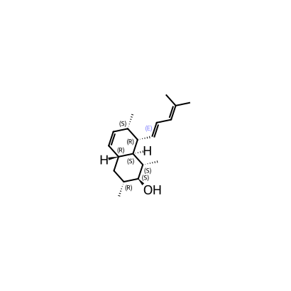 CC(C)=C/C=C/[C@@H]1[C@H]2[C@H](C)[C@@H](O)[C@H](C)C[C@@H]2C=C[C@@H]1C